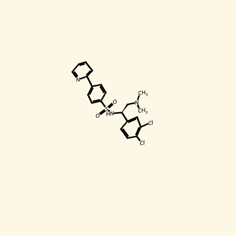 CN(C)C[C@H](NS(=O)(=O)c1ccc(-c2ccccn2)cc1)c1ccc(Cl)c(Cl)c1